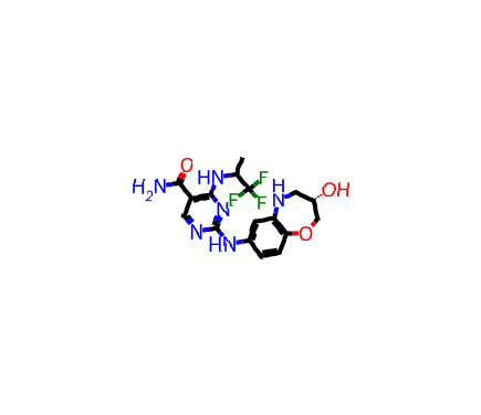 CC(Nc1nc(Nc2ccc3c(c2)NC[C@H](O)CO3)ncc1C(N)=O)C(F)(F)F